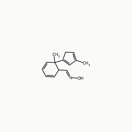 CC1=CCC(C2(C)C=CC=CC2/C=N/O)=C1